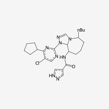 CCCCC1CCCC(NC(=O)c2cn[nH]c2)C2N(c3ncc(Cl)c(C4CCCC4)n3)N=CN12